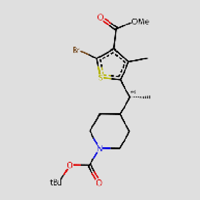 COC(=O)c1c(Br)sc([C@H](C)C2CCN(C(=O)OC(C)(C)C)CC2)c1C